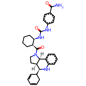 NC(=O)c1ccc(NC(=O)N[C@@H]2CCCC[C@@H]2C(=O)N2CC[C@@H]3[C@H](C4C=CC=CC4)Nc4ccccc4[C@@H]32)cc1